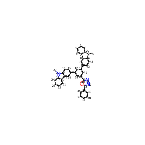 CC1c2ccccc2-c2cc(-c3cc(-c4ccc5c(c4)c4ccccc4n5C)cc(-c4nnc(-c5ccccc5)o4)c3)ccc21